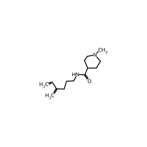 C=CC(=C)CCCNC(=O)C1CCN(C)CC1